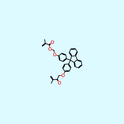 C=C(C)C(=O)COc1ccc(C2(c3ccc(OCOC(=O)C(=C)C)cc3)c3ccccc3-c3ccccc32)cc1